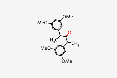 COc1cc(OC)cc(C(C)C(=O)C(C)c2cc(OC)cc(OC)c2)c1